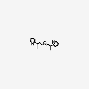 IC(=CCOCC=C(I)c1ccccn1)c1ccccn1